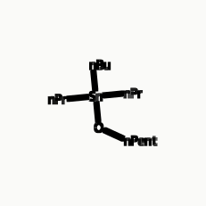 CCCCC[O][Sn]([CH2]CC)([CH2]CC)[CH2]CCC